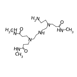 CNC(=O)CCN(CCN)CCNCCN(CCC(=O)NC)CCC(=O)NC